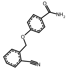 N#Cc1ccccc1COc1ccc(C(N)=O)cc1